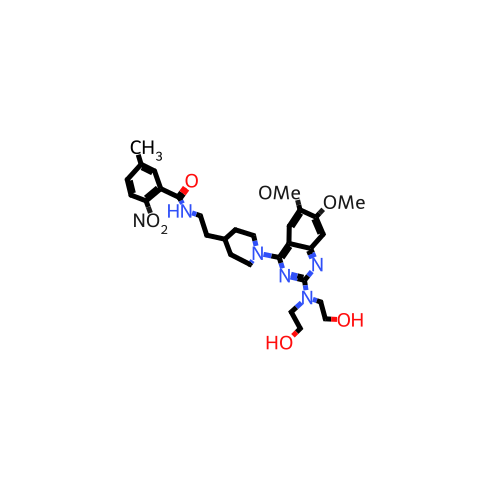 COc1cc2nc(N(CCO)CCO)nc(N3CCC(CCNC(=O)c4cc(C)ccc4[N+](=O)[O-])CC3)c2cc1OC